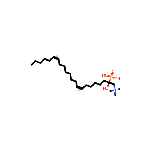 CCCCC/C=C\CCCCCC/C=C\CCCCCC(O)(C[N+](C)(C)C)P(=O)(O)O